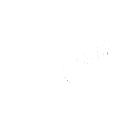 CC(C)=CCC/C(C)=C/CCC(C)C/C=C(\C(=O)NCCC(=O)Nc1cccc(S(=O)(=O)Nc2cccc(C)c2C)c1)[N+](=O)[O-]